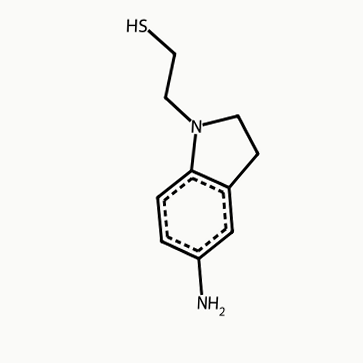 Nc1ccc2c(c1)CCN2CCS